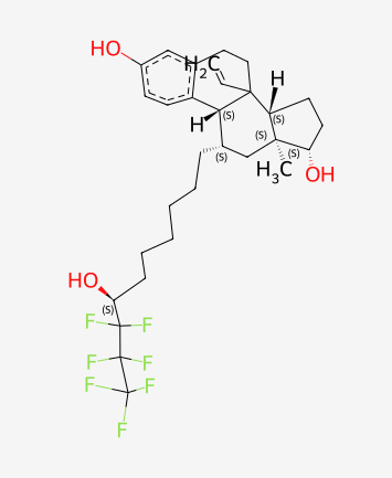 C=CC12CCc3cc(O)ccc3[C@H]1[C@@H](CCCCCC[C@H](O)C(F)(F)C(F)(F)C(F)(F)F)C[C@]1(C)[C@@H](O)CC[C@@H]21